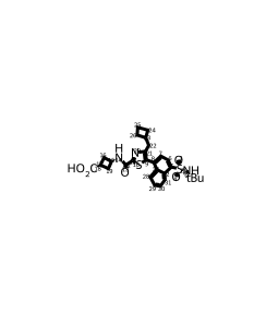 CC(C)(C)NS(=O)(=O)c1ccc(-c2sc(C(=O)N[C@H]3C[C@H](C(=O)O)C3)nc2CC2CCC2)c2ccccc12